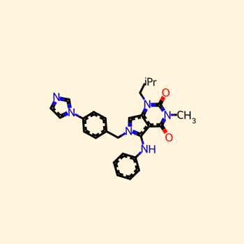 CC(C)Cn1c(=O)n(C)c(=O)c2c(Nc3ccccc3)n(Cc3ccc(-n4ccnc4)cc3)cc21